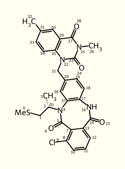 CSC[C@H](C)N1C(=O)c2c(Cl)cccc2C(=O)Nc2ccc(Cn3c(=O)n(C)c(=O)c4cc(C)ccc43)cc21